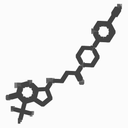 N#Cc1ccc(N2CCN(C(=O)CCNC3CCc4c3n[nH]c(=O)c4C(F)(F)F)CC2)nc1